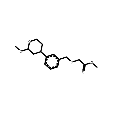 COC(=O)COCc1cccc(C2CCOC(OC)C2)c1